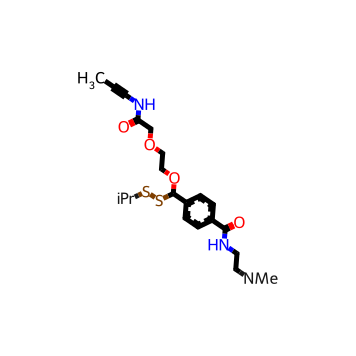 CC#CNC(=O)COCCOC(SSC(C)C)c1ccc(C(=O)NCCNC)cc1